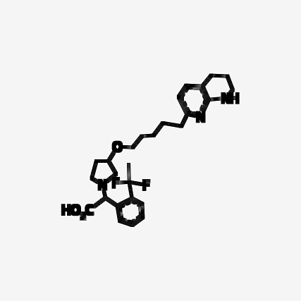 CC(F)(F)c1ccccc1C(C(=O)O)N1CCC(OCCCCCc2ccc3c(n2)NCCC3)C1